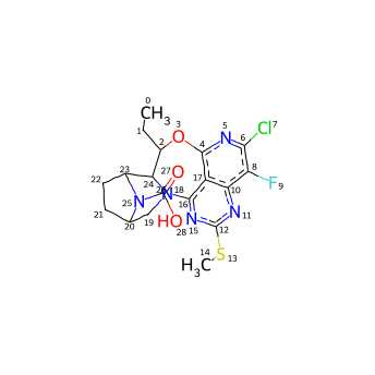 CCC1Oc2nc(Cl)c(F)c3nc(SC)nc(c23)N2CC3CCC(C12)N3C(=O)O